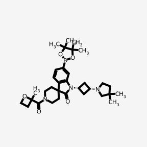 CC1(C)CCN([C@H]2C[C@@H](N3C(=O)C4(CCN(C(=O)C5(C)CCO5)CC4)c4ccc(B5OC(C)(C)C(C)(C)O5)cc43)C2)C1